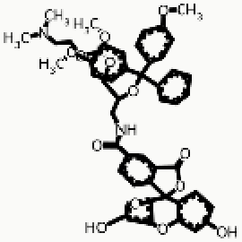 COc1ccc(C(OC(CNC(=O)c2ccc3c(c2)C(=O)OC32c3ccc(O)cc3Oc3cc(O)ccc32)COP(OC)OCCN(C)C)(c2ccccc2)c2ccc(OC)cc2)cc1